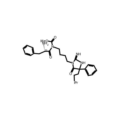 COC(=O)N(CCCCN1C(=N)NC(CCC(C)C)(c2ccccc2)C1=O)C(=O)[C@@H](N)Cc1ccccc1